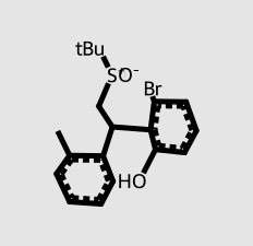 Cc1ccccc1C(C[S+]([O-])C(C)(C)C)c1c(O)cccc1Br